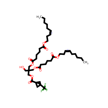 CCCCC/C=C\CCOC(=O)CCCCC(=O)OCC(CO)(COC(=O)CCCCC(=O)OCC/C=C\CCCCC)COC(=O)C12CC(C(F)(F)F)(C1)C2